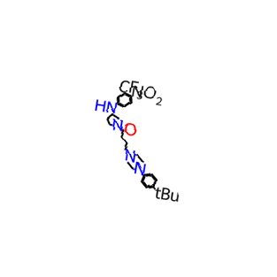 CC(C)(C)c1ccc(N2CCN(CCCC(=O)N3CC[C@H](Nc4ccc([N+](=O)[O-])c(C(F)(F)F)c4)C3)CC2)cc1